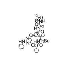 CC(C)(C)[C@H](NC(=O)OC1CCCC1)C(=O)N1C[C@H](Oc2cc(Cl)nc(Nc3ccccc3)n2)C[C@H]1C(=O)NC1(C(=O)NS(=O)(=O)C2CC2)CC1